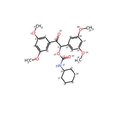 COc1cc(OC)cc(C(=O)C(OC(=O)NC2CCCCC2)c2cc(OC)cc(OC)c2)c1